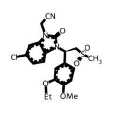 CCOc1cc([C@H](CS(C)(=O)=O)n2c(=O)n(CC#N)c3cc(Cl)ccc32)ccc1OC